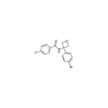 O=C(NC1(c2ccc(Br)cc2)COC1)c1ccc(F)cc1